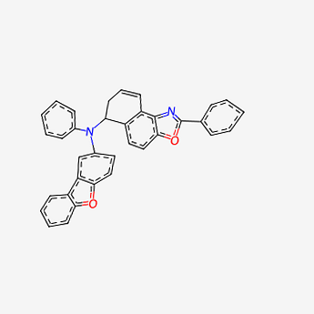 C1=Cc2c(ccc3oc(-c4ccccc4)nc23)C(N(c2ccccc2)c2ccc3oc4ccccc4c3c2)C1